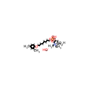 Cc1ccc(OCCCCCCCCOP(=O)(O)O[C@H](CC(=O)O)C[N+](C)(C)C)c(C)c1.[OH-]